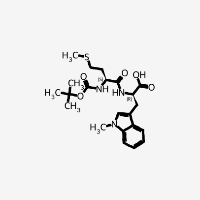 CSCC[C@H](NC(=O)OC(C)(C)C)C(=O)N[C@H](Cc1cn(C)c2ccccc12)C(=O)O